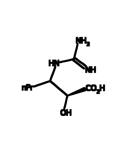 CCCC(NC(=N)N)[C@H](O)C(=O)O